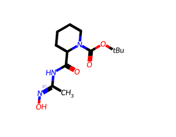 C/C(=N\O)NC(=O)C1CCCCN1C(=O)OC(C)(C)C